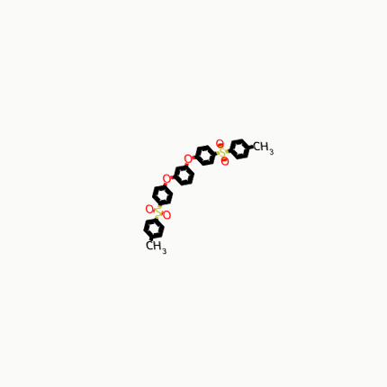 Cc1ccc(S(=O)(=O)c2ccc(Oc3cccc(Oc4ccc(S(=O)(=O)c5ccc(C)cc5)cc4)c3)cc2)cc1